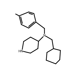 Cc1ccc(CN(CC2CCCCC2)C2CCNCC2)cc1